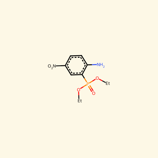 CCOP(=O)(OCC)c1cc([N+](=O)[O-])ccc1N